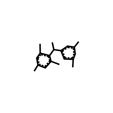 Cc1[c]c(C(C)c2c(C)cc(C)cc2C)cc(C)c1